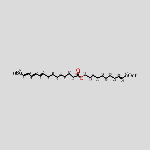 CCCCC=CC=CC=CCCCCCCCC(=O)OCCCCCCCC/C=C/CCCCCCCC